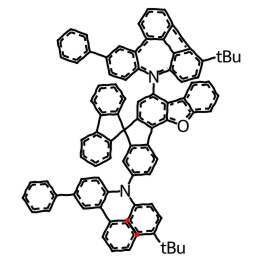 CC(C)(C)c1ccc(N(c2ccc3c(c2)C2(c4ccccc4-c4ccccc42)c2cc(-n4c5ccc(C(C)(C)C)c6c5-c5c6cccc5c5cc(-c6ccccc6)ccc54)c4c(oc5ccccc54)c2-3)c2ccc(-c3ccccc3)cc2-c2ccccc2)cc1